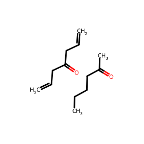 C=CCC(=O)CC=C.CCCCC(C)=O